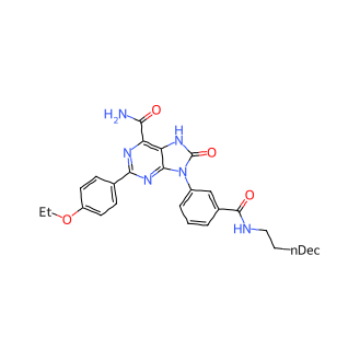 CCCCCCCCCCCCNC(=O)c1cccc(-n2c(=O)[nH]c3c(C(N)=O)nc(-c4ccc(OCC)cc4)nc32)c1